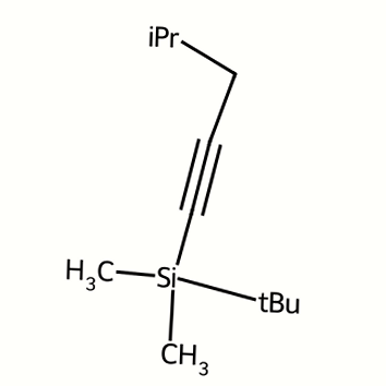 CC(C)CC#C[Si](C)(C)C(C)(C)C